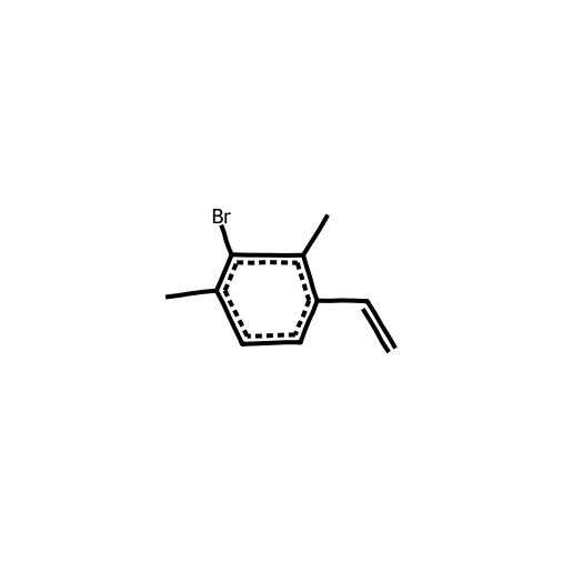 C=Cc1ccc(C)c(Br)c1C